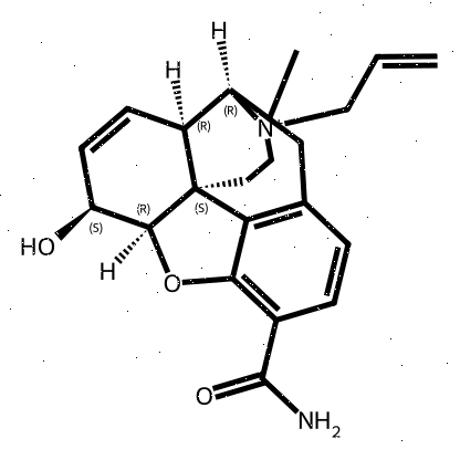 C=CC[N+]1(C)CC[C@]23c4c5ccc(C(N)=O)c4O[C@H]2[C@@H](O)C=C[C@H]3[C@H]1C5